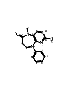 CN1C(=O)CCN(c2ccccc2)c2nc(Cl)ncc21